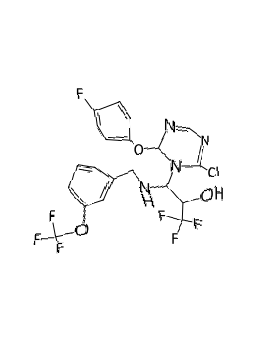 OC(C(NCc1cccc(OC(F)(F)F)c1)N1C(Cl)=NC=NC1Oc1ccc(F)cc1)C(F)(F)F